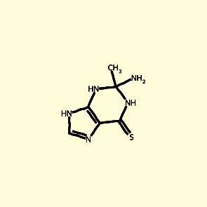 CC1(N)NC(=S)c2nc[nH]c2N1